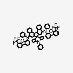 FC(F)(F)c1cccc2c1oc1c(N(c3ccccc3)c3cc4c(c5ccccc35)-c3c(cc(N(c5ccccc5)c5cccc6c5oc5c(C(F)(F)F)cccc56)c5ccccc35)C43c4ccccc4N(c4ccccc4)c4ccccc43)cccc12